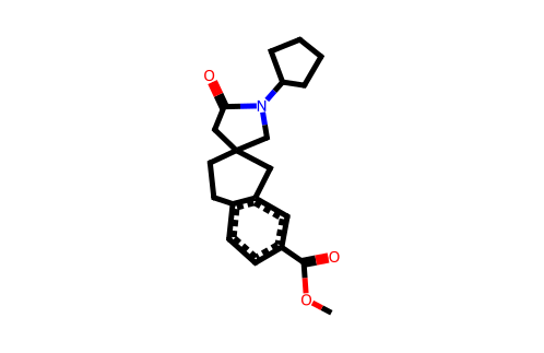 COC(=O)c1ccc2c(c1)CC1(CC2)CC(=O)N(C2CCCC2)C1